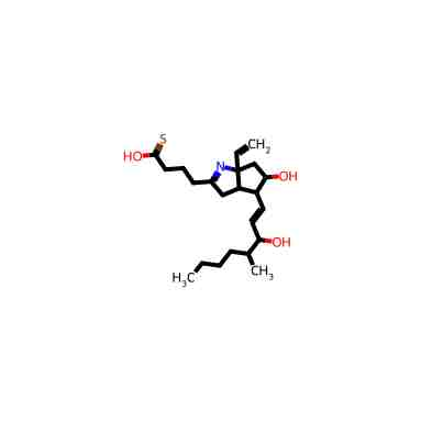 C=CC12CC(O)C(C=CC(O)C(C)CCCC)C1CC(CCCC(O)=S)=N2